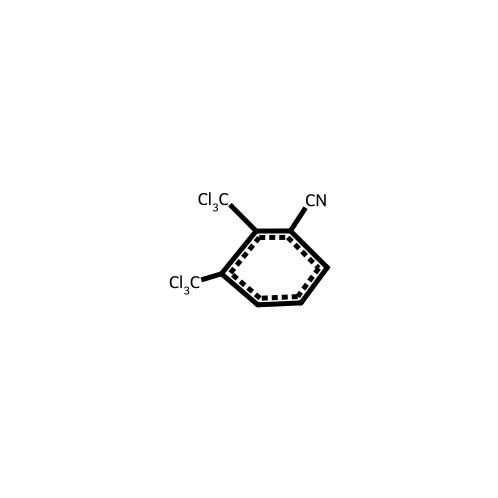 N#Cc1cccc(C(Cl)(Cl)Cl)c1C(Cl)(Cl)Cl